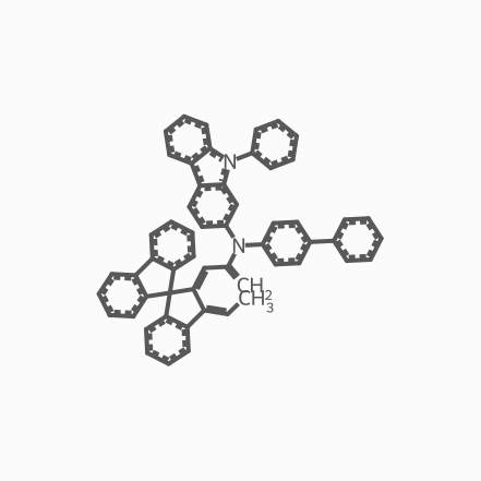 C=C(/C=C1\C(=C/C)c2ccccc2C12c1ccccc1-c1ccccc12)N(c1ccc(-c2ccccc2)cc1)c1ccc2c3ccccc3n(-c3ccccc3)c2c1